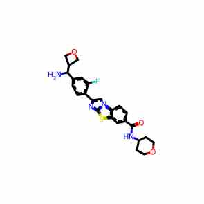 NC(c1ccc(-c2cn3c(n2)sc2cc(C(=O)NC4CCOCC4)ccc23)c(F)c1)C1COC1